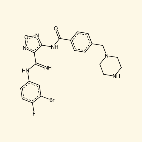 N=C(Nc1ccc(F)c(Br)c1)c1nonc1NC(=O)c1ccc(CN2CCNCC2)cc1